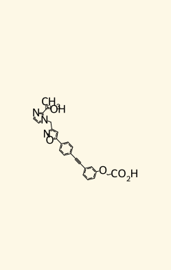 C[C@H](O)c1nccn1Cc1cc(-c2ccc(C#Cc3cccc(OCC(=O)O)c3)cc2)on1